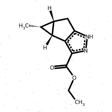 CCOC(=O)c1n[nH]c2c1[C@@H]1[C@H](C)[C@@H]1C2